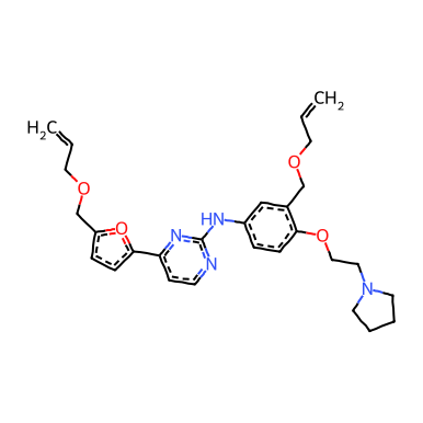 C=CCOCc1ccc(-c2ccnc(Nc3ccc(OCCN4CCCC4)c(COCC=C)c3)n2)o1